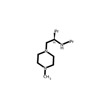 CC(C)N[C@@H](CN1CCN(C)CC1)C(C)C